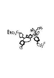 CCCN(CCC)S(=O)(=O)c1ccc(C(=O)O)cc1.CCOC(=O)N1CCC(=C2c3ccc(Cl)cc3CCc3cccnc32)CC1